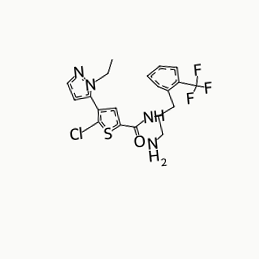 CCn1nccc1-c1cc(C(=O)NC(CN)Cc2ccccc2C(F)(F)F)sc1Cl